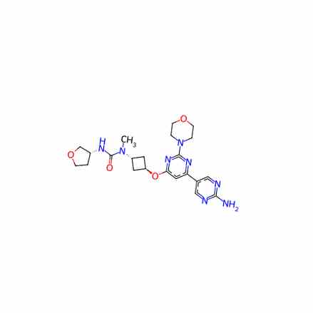 CN(C(=O)N[C@@H]1CCOC1)[C@H]1C[C@H](Oc2cc(-c3cnc(N)nc3)nc(N3CCOCC3)n2)C1